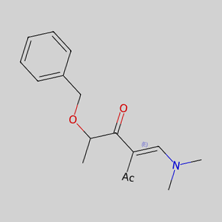 CC(=O)/C(=C\N(C)C)C(=O)C(C)OCc1ccccc1